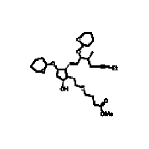 CCC#CC[C@H](C)C(/C=C/[C@@H]1[C@@H](CCSCCCC(=O)OC)[C@@H](O)C[C@H]1OC1CCCCO1)OC1CCCCO1